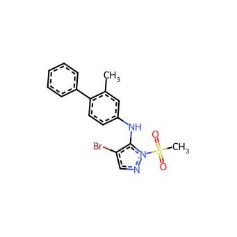 Cc1cc(Nc2c(Br)cnn2S(C)(=O)=O)ccc1-c1ccccc1